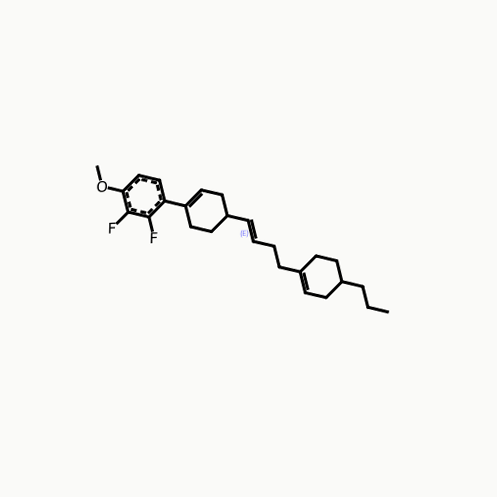 CCCC1CC=C(CC/C=C/C2CC=C(c3ccc(OC)c(F)c3F)CC2)CC1